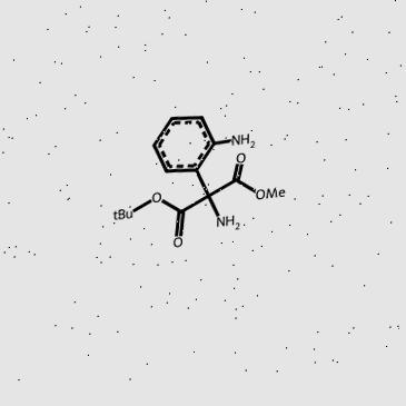 COC(=O)C(N)(C(=O)OC(C)(C)C)c1ccccc1N